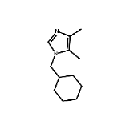 Cc1ncn(CC2CCCCC2)c1C